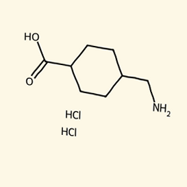 Cl.Cl.NCC1CCC(C(=O)O)CC1